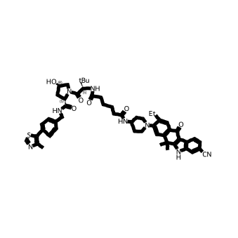 CCc1cc2c(cc1N1CCC(NC(=O)CCCCC(=O)N[C@H](C(=O)N3C[C@H](O)C[C@H]3C(=O)NCc3ccc(-c4scnc4C)cc3)C(C)(C)C)CC1)C(C)(C)c1[nH]c3cc(C#N)ccc3c1C2=O